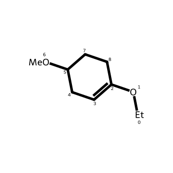 CCOC1=CCC(OC)CC1